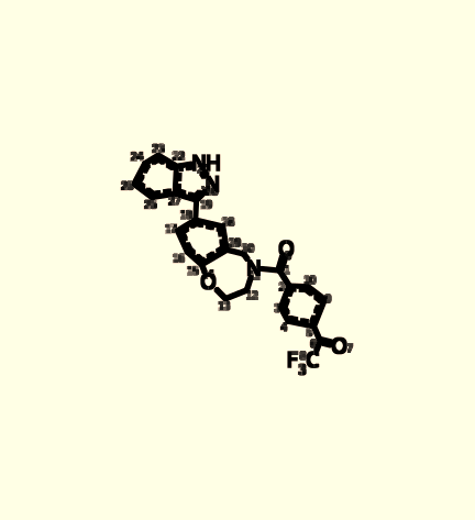 O=C(c1ccc(C(=O)C(F)(F)F)cc1)N1CCOc2ccc(-c3n[nH]c4ccccc34)cc2C1